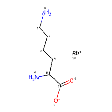 NCCCCC(N)C(=O)[O-].[Rb+]